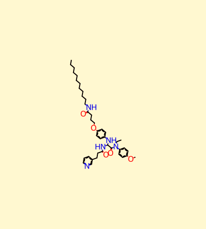 CCCCCCCCCCCCNC(=O)CCCOc1ccc(NC(NC(=O)CCc2cccnc2)C(=O)N(CC)c2ccc(OC)cc2)cc1